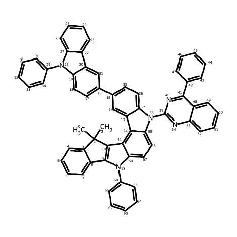 CC1(C)c2ccccc2-c2c1c1c3c4cc(-c5ccc6c(c5)c5ccccc5n6-c5ccccc5)ccc4n(-c4nc(-c5ccccc5)c5ccccc5n4)c3ccc1n2-c1ccccc1